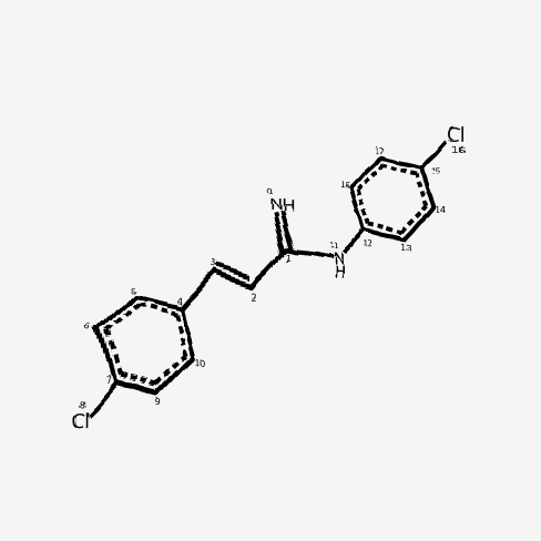 N=C(/C=C/c1ccc(Cl)cc1)Nc1ccc(Cl)cc1